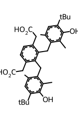 Cc1cc(C(C)(C)C)c(O)c(C)c1Cc1c(CC(=O)O)ccc(CC(=O)O)c1Cc1c(C)cc(C(C)(C)C)c(O)c1C